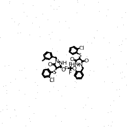 Cc1cccc(CN2NC(=O)C(Sc3ccccc3Cl)C2=O)c1.O=C1NN(Cc2ccccc2OC(F)(F)F)C(=O)C1Sc1ccccc1Cl